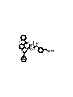 O=C(Nc1cccc(C=NO)c1)N[C@@H]1N=C(c2ccccc2F)c2ccccc2N(CC(=O)N2CC3CCC(CC3)C2)C1=O